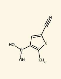 Cc1sc(C#N)cc1B(O)O